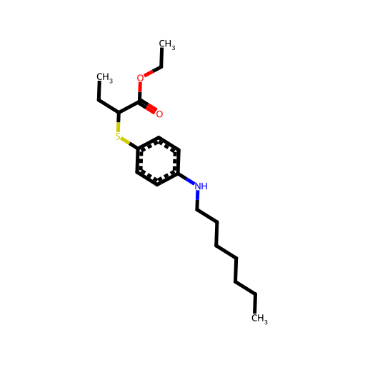 CCCCCCCNc1ccc(SC(CC)C(=O)OCC)cc1